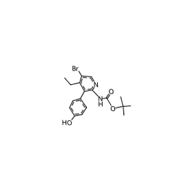 CCc1c(Br)cnc(NC(=O)OC(C)(C)C)c1-c1ccc(O)cc1